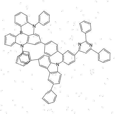 c1ccc(-c2ccc3c(c2)c2cc(-c4ccccc4)ccc2n3-c2ccc(-c3cc(-c4ccccc4)nc(-c4ccccc4)n3)cc2-c2ccc(-c3cc4c5c(c3)N(c3ccccc3)c3ccccc3B5c3ccccc3N4c3ccccc3)cc2)cc1